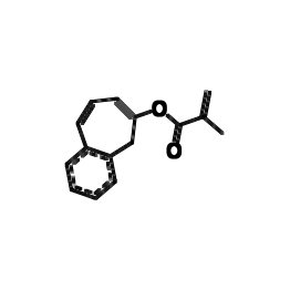 C=C(C)C(=O)OC1=CC=Cc2ccccc2C1